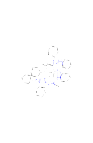 C=C(Nc1ccccc1)[CH](Nc1ccccc1)[Zr]([CH](CNc1ccccc1)Nc1ccccc1)([CH]1C=Cc2ccccc21)[CH]1C=Cc2ccccc21